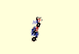 CCC(=O)Nc1cccc(Oc2ncnc(N)c2-c2cnn(Cc3ccccc3)c2)c1